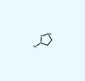 [2H]N1CCNS1